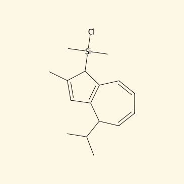 CC1=CC2=C(C=CC=CC2C(C)C)C1[Si](C)(C)Cl